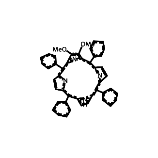 COc1c(OC)c2[nH]c1c(-c1ccccc1)c1nc(c(-c3ccccc3)c3ccc([nH]3)c(-c3ccccc3)c3nc(c2-c2ccccc2)C=C3)C=C1